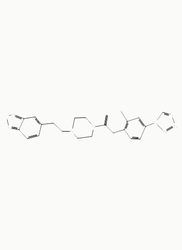 Cc1cc(-n2cnnn2)ccc1CC(=O)N1CCN(CCc2ccc3nonc3c2)CC1